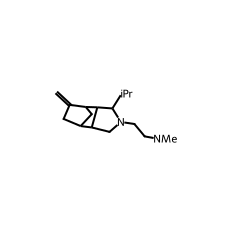 C=C1CC2CC1C1C2CN(CCNC)C1C(C)C